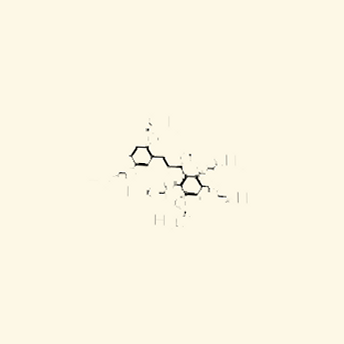 CCOc1ccc(OCC)c(C=CC(=O)c2c(OCC)c(OCC)cc(OCC)c2OCC)c1